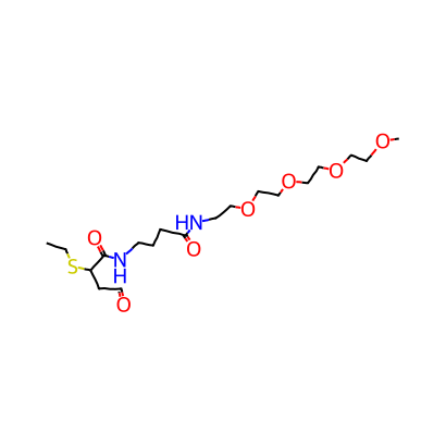 CCSC(CC=O)C(=O)NCCCC(=O)NCCOCCOCCOCCOC